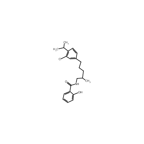 CC(CCCc1ccc(C(C)C)c(Cl)c1)CNC(=O)c1ccccc1O